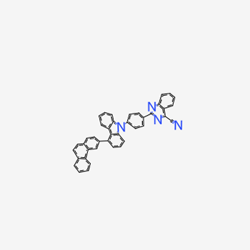 N#Cc1nc(-c2ccc(-n3c4ccccc4c4c(-c5ccc6ccc7ccccc7c6c5)cccc43)cc2)nc2ccccc12